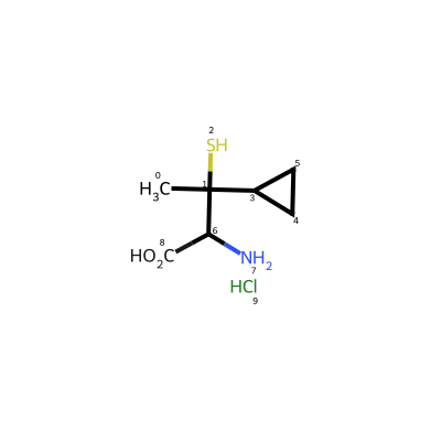 CC(S)(C1CC1)C(N)C(=O)O.Cl